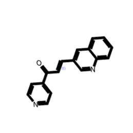 O=C(/C=C/c1cnc2ccccc2c1)c1ccncc1